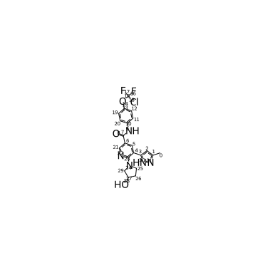 Cc1cc(-c2cc(C(=O)Nc3ccc(OC(F)(F)Cl)cc3)cnc2N2CC[C@@H](O)C2)[nH]n1